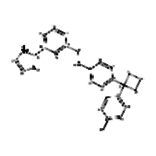 Cc1ccc(C2(c3ccc(OCc4ccnc(-c5ncc[nH]5)n4)cc3)CCC2)cc1